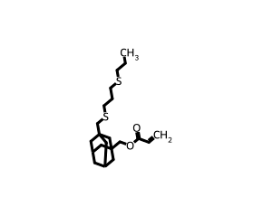 C=CC(=O)OCC12CC3CC(C1)CC(CSCCCSCCC)(C3)C2